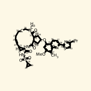 COc1cc(O[C@@H]2C[C@H]3C(=O)N[C@]4(C(=O)NS(=O)(=O)C5CC5)C[C@H]4/C=C\CCCCN(C)C(=O)[C@@H]3C2)c2ccc(-c3nc(C(C)C)cs3)nc2c1C